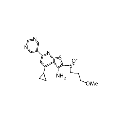 COCCC[S+]([O-])c1sc2nc(-c3cncnc3)cc(C3CC3)c2c1N